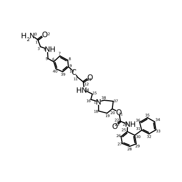 NC(=O)CNCc1ccc(CCC(=O)NCCN2CCC(OC(=O)Nc3ccccc3-c3ccccc3)CC2)cc1